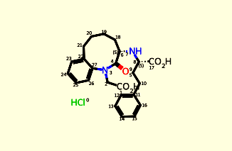 Cl.O=C(O)CN1C(=O)[C@@H](N[C@@H](CCc2ccccc2)C(=O)O)CCCCc2ccccc21